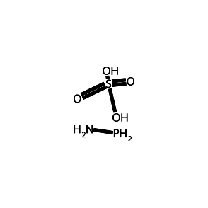 NP.O=S(=O)(O)O